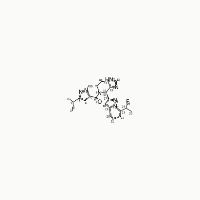 CC(F)c1cc(C(=O)N2CCc3[nH]cnc3[C@H]2c2cc3cccc(C(C)F)n3n2)n(C)n1